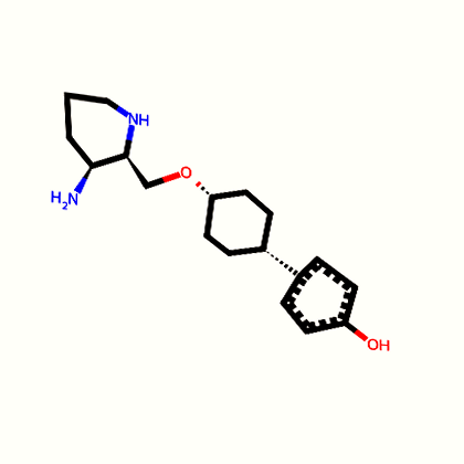 N[C@H]1CCCN[C@H]1CO[C@H]1CC[C@@H](c2ccc(O)cc2)CC1